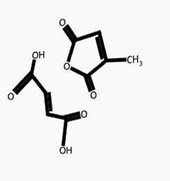 CC1=CC(=O)OC1=O.O=C(O)/C=C/C(=O)O